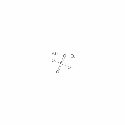 O=S(=O)(O)O.[AsH3].[Cu]